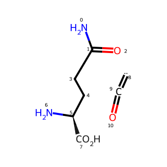 NC(=O)CC[C@H](N)C(=O)O.[C]=C=O